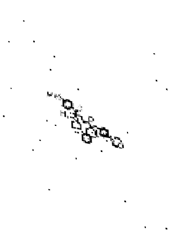 CSc1ccc(C(=O)C(C)(CCC(=O)C(Cc2ccccc2)(Cc2ccc(N3CCOCC3)cc2)N(C)C)N2CCOCC2)cc1